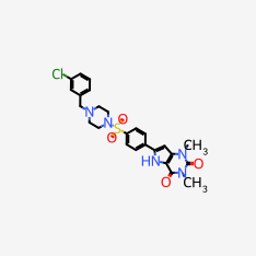 Cn1c(=O)c2[nH]c(-c3ccc(S(=O)(=O)N4CCN(Cc5cccc(Cl)c5)CC4)cc3)cc2n(C)c1=O